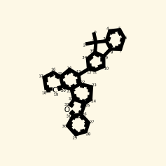 CC1(C)c2ccccc2-c2ccc(-c3cc4ccccc4c4c3ccc3c5ccccc5oc34)cc21